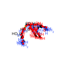 N=c1[nH]c(N)nc2c1NC(CNc1ccc(C(=O)N[C@@H](CCC(=O)NNC(=O)OCCSSC[C@@H](NC(=O)[C@H](CCC(=O)NC[C@H](O)CC[C@H](O)CO)NC(=O)[C@@H](CCC(=O)O)NC(=O)[C@H](CCC(=O)NC[C@H](O)C(O)C[C@H](O)CO)NC(=O)[C@@H](CCC(=O)O)NC(=O)[C@H](CCC(=O)NC[C@H](O)CC[C@H](O)CO)NC(=O)CCCNC(=O)c3ccc(NCc4cnc5c(n4)C(=O)NC(N)N5)cc3)C(=O)O)C(=O)O)cc1)CN2